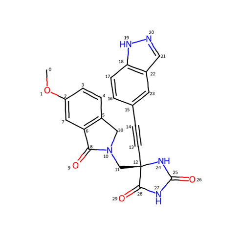 COc1ccc2c(c1)C(=O)N(C[C@@]1(C#Cc3ccc4[nH]ncc4c3)NC(=O)NC1=O)C2